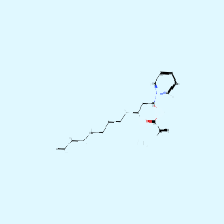 C=C(C)C(=O)OC(CCCCCCCCCCC)[n+]1ccccc1